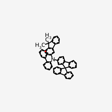 CC1(C)c2ccccc2-c2cc(N(c3ccc4c(c3)C3(c5ccccc5-c5ccccc53)c3ccccc3-4)c3ccccc3-c3ccccc3)ccc21